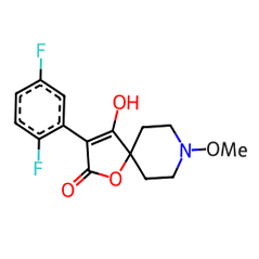 CON1CCC2(CC1)OC(=O)C(c1cc(F)ccc1F)=C2O